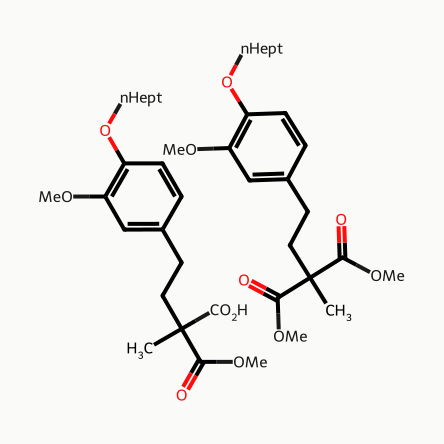 CCCCCCCOc1ccc(CCC(C)(C(=O)O)C(=O)OC)cc1OC.CCCCCCCOc1ccc(CCC(C)(C(=O)OC)C(=O)OC)cc1OC